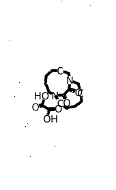 O=C(O)C(=O)O.O=C1C(=O)N2CCCCCCN1CCCCCC2